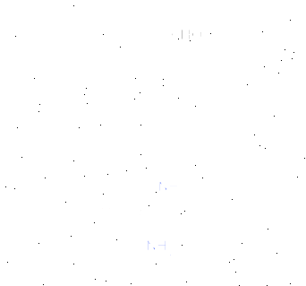 NC(=O)NCCCC[C]=O